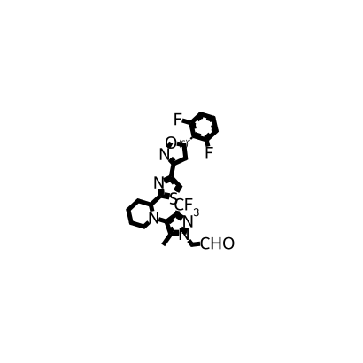 Cc1c(N2CCCCC2c2nc(C3=NO[C@H](c4c(F)cccc4F)C3)cs2)c(C(F)(F)F)nn1CC=O